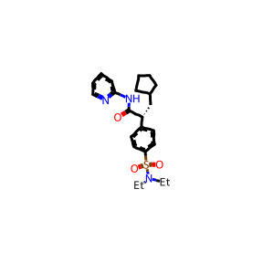 CCN(CC)S(=O)(=O)c1ccc([C@@H](CC2CCCC2)C(=O)Nc2ccccn2)cc1